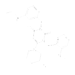 COC(=O)c1cccc(Cn2c(=O)cc(N3CCC[C@@H](N)C3)n(Cc3ccccc3N)c2=O)c1